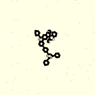 c1ccc(-c2cc(-c3ccc(-c4ccc5nc(-c6ccccc6)c6cc7c(cc6c5c4)C4(c5ccccc5Oc5ccccc54)c4ccccc4-7)cc3)nc(-c3ccccc3)n2)cc1